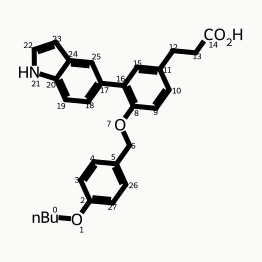 CCCCOc1ccc(COc2ccc(CCC(=O)O)cc2-c2ccc3[nH]ccc3c2)cc1